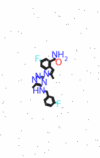 Cc1nnc(-n2c(C)cc3c(C(N)=O)cc(F)cc32)nc1NCc1cccc(F)c1